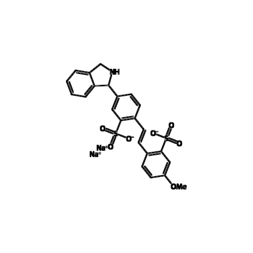 COc1ccc(C=Cc2ccc(C3NCc4ccccc43)cc2S(=O)(=O)[O-])c(S(=O)(=O)[O-])c1.[Na+].[Na+]